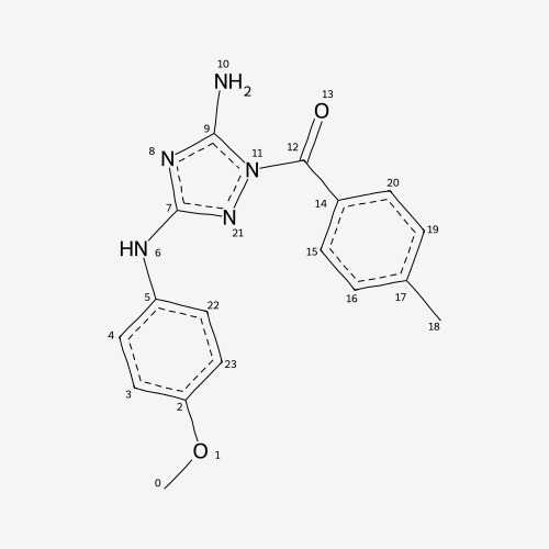 COc1ccc(Nc2nc(N)n(C(=O)c3ccc(C)cc3)n2)cc1